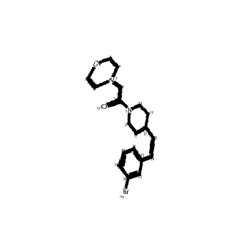 O=C(CN1CCOCC1)N1CCC(/C=C\c2cccc(Br)c2)CC1